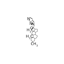 CC1CCC2(C)C(CCC3C2CCC2(C)C(C(=O)Cn4cc5ccncc5n4)CCC32)C1